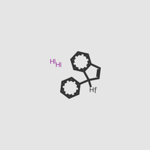 I.I.[Hf][C]1(c2ccccc2)C=Cc2ccccc21